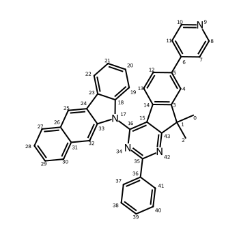 CC1(C)c2cc(-c3ccncc3)ccc2-c2c(-n3c4ccccc4c4cc5ccccc5cc43)nc(-c3ccccc3)nc21